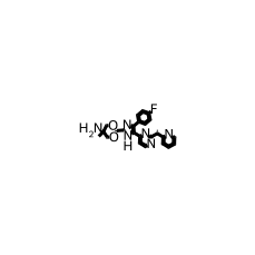 CC1(N)COC(c2nc(-c3ccc(F)cc3)c(-c3ccnc([CH]c4ccccn4)n3)[nH]2)OC1